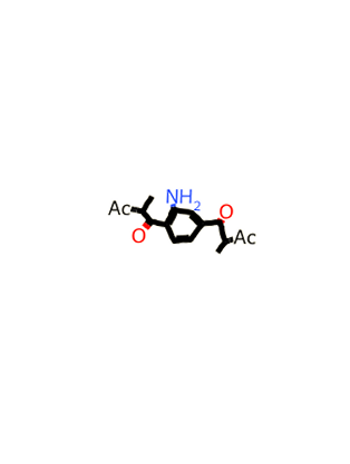 CC(=O)C(C)C(=O)c1ccc(C(=O)C(C)C(C)=O)c(N)c1